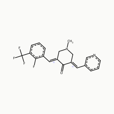 CN1C/C(=C\c2cccnc2)C(=O)/C(=C/c2cccc(C(F)(F)F)c2F)C1